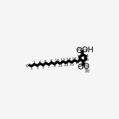 CCCCCCCCCCCCCCCCCCc1cc(C(=O)O)ccc1C(=O)OC